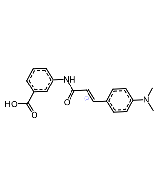 CN(C)c1ccc(/C=C/C(=O)Nc2cccc(C(=O)O)c2)cc1